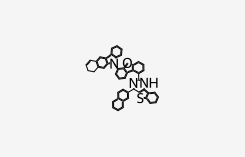 C1=Cc2cc3c4ccccc4n(-c4cccc5c4oc4cccc(C6N=C(c7ccc8ccccc8c7)c7sc8ccccc8c7N6)c45)c3cc2CC1